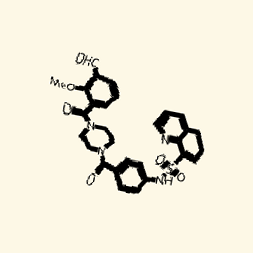 COc1c(C=O)cccc1C(=O)N1CCN(C(=O)c2ccc(NS(=O)(=O)c3cccc4cccnc34)cc2)CC1